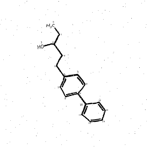 CCC(O)CCc1ccc(-c2ccccc2)cc1